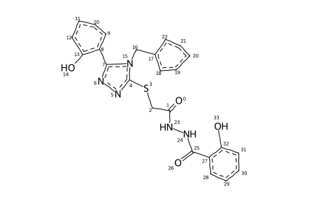 O=C(CSc1nnc(-c2ccccc2O)n1Cc1ccccc1)NNC(=O)c1ccccc1O